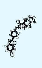 O=C(NCc1ccc(-c2nc3ccc(Cl)cc3o2)cn1)c1cnc2nccn2c1